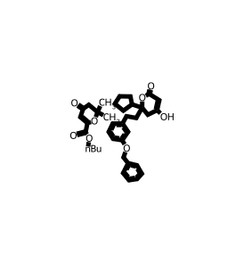 CCCCOC(=O)C1=CC(=O)CC(C)(C)O1.O=C1C=C(O)CC(CCc2cccc(OCc3ccccc3)c2)(C2CCCC2)O1